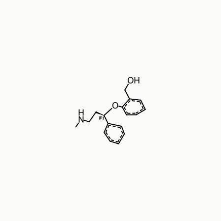 CNCC[C@@H](Oc1ccccc1CO)c1ccccc1